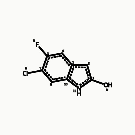 Oc1cc2cc(F)c(Cl)cc2[nH]1